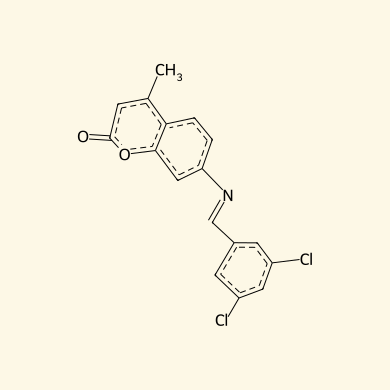 Cc1cc(=O)oc2cc(N=Cc3cc(Cl)cc(Cl)c3)ccc12